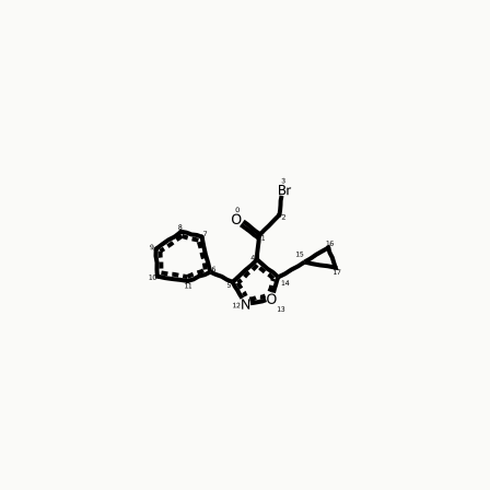 O=C(CBr)c1c(-c2ccccc2)noc1C1CC1